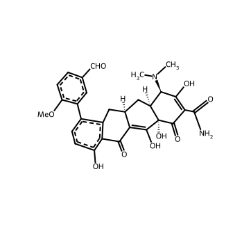 COc1ccc(C=O)cc1-c1ccc(O)c2c1C[C@H]1C[C@H]3[C@@H](N(C)C)C(O)=C(C(N)=O)C(=O)[C@@]3(O)C(O)=C1C2=O